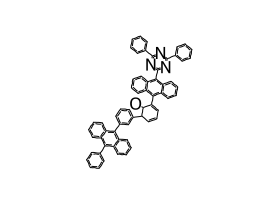 C1=CC2c3cc(-c4c5ccccc5c(-c5ccccc5)c5ccccc45)ccc3OC2C(c2c3ccccc3c(-c3nc(-c4ccccc4)nc(-c4ccccc4)n3)c3ccccc23)=C1